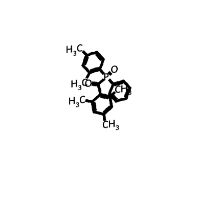 Cc1ccc(P(=O)(C(=O)c2c(C)cc(C)cc2C)c2ccccc2)c(C)c1